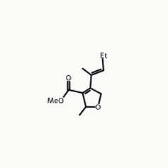 CC/C=C(\C)C1=C(C(=O)OC)C(C)OC1